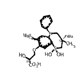 CCCC[C@@]1(C)CN(c2ccccc2)c2cc(SC)c(OC[C@H](O)C(=O)O)cc2S(O)(O)C1